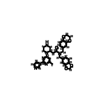 Cc1cc(N2CCNCC2CC(=O)N(Cc2ccc3c(c2)OCCO3)Cc2ccc3c(c2)OCO3)nc(-n2ccnc2)n1